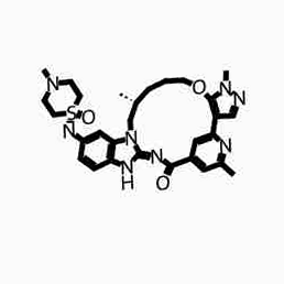 Cc1cc2cc(n1)-c1cnn(C)c1OCCC[C@@H](C)CN1/C(=N/C2=O)Nc2ccc(N=S3(=O)CCN(C)CC3)cc21